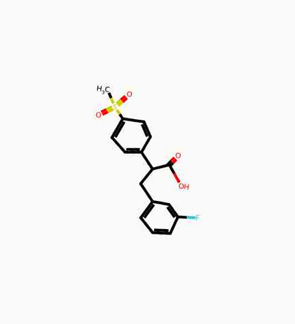 CS(=O)(=O)c1ccc(C(Cc2cccc(F)c2)C(=O)O)cc1